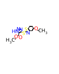 CCOC(=O)c1[nH]nnc1Sc1nc2cc(OCC)ccc2s1